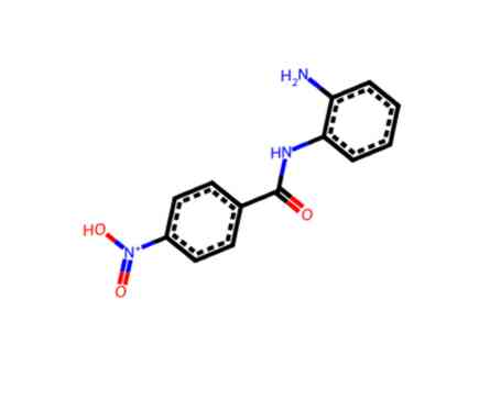 Nc1ccccc1NC(=O)c1ccc([N+](=O)O)cc1